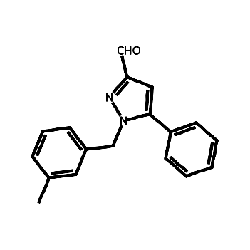 Cc1cccc(Cn2nc(C=O)cc2-c2ccccc2)c1